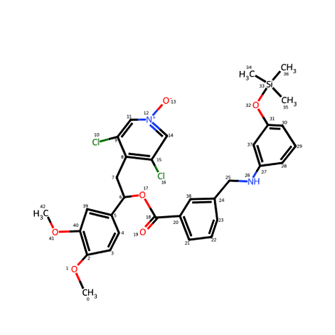 COc1ccc(C(Cc2c(Cl)c[n+]([O-])cc2Cl)OC(=O)c2cccc(CNc3cccc(O[Si](C)(C)C)c3)c2)cc1OC